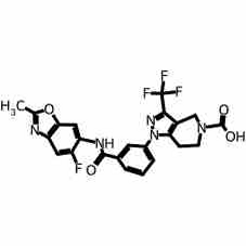 Cc1nc2cc(F)c(NC(=O)c3cccc(-n4nc(C(F)(F)F)c5c4CCN(C(=O)O)C5)c3)cc2o1